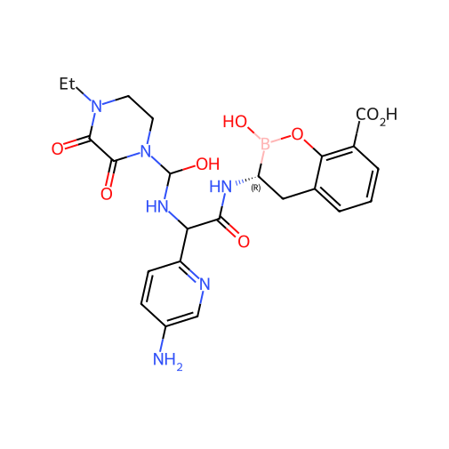 CCN1CCN(C(O)NC(C(=O)N[C@H]2Cc3cccc(C(=O)O)c3OB2O)c2ccc(N)cn2)C(=O)C1=O